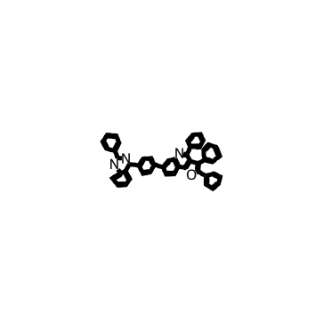 c1ccc(-c2nc(-c3ccc(-c4ccc5c(c4)nc(-c4ccccc4)c4c(-c6ccccc6)c(-c6ccccc6)oc45)cc3)c3ccccc3n2)cc1